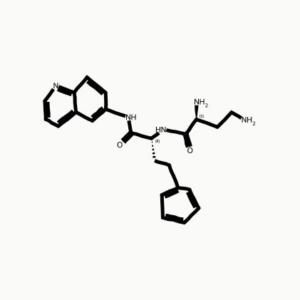 NCC[C@H](N)C(=O)N[C@H](CCc1ccccc1)C(=O)Nc1ccc2ncccc2c1